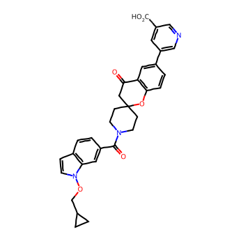 O=C(O)c1cncc(-c2ccc3c(c2)C(=O)CC2(CCN(C(=O)c4ccc5ccn(OCC6CC6)c5c4)CC2)O3)c1